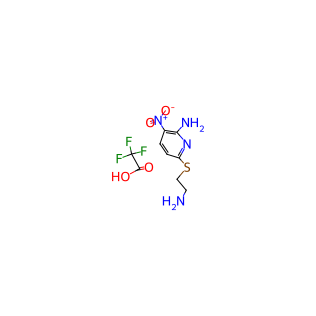 NCCSc1ccc([N+](=O)[O-])c(N)n1.O=C(O)C(F)(F)F